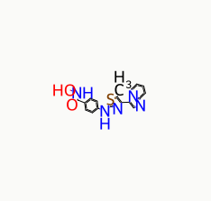 Cc1sc(Nc2ccc(C(=O)NO)cc2)nc1-c1cnc2ccccn12